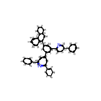 C1=CC(c2cc(-c3cc(-c4ccc(-c5ccccc5)cn4)cc(-c4cc5ccccc5c5ccccc45)c3)cc(-c3ccccc3)n2)=CCC1